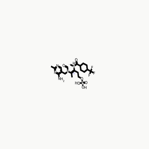 [CH2][SH](C(=O)C1CCC(C(F)(F)F)CC1)/C(CCOP(=O)(O)O)=C(/C)N(C=O)Cc1cnc(C)nc1N